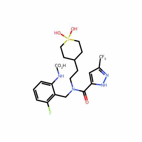 O=C(O)Nc1cccc(F)c1CN(CCC1CCS(O)(O)CC1)C(=O)c1cc(C(F)(F)F)n[nH]1